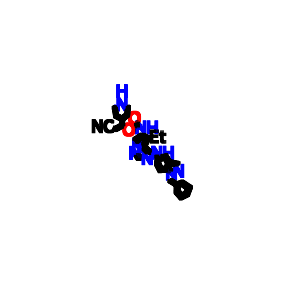 CCc1c(NC(=O)OC(CC#N)C2CCNCC2)cn2ncnc(Nc3ccc4c(cnn4Cc4ccccc4)c3)c12